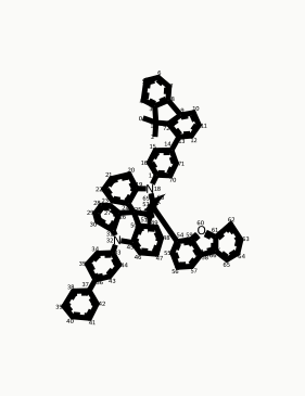 CC1(C)c2ccccc2-c2cccc(-c3ccc(N4c5ccccc5C5(c6ccccc6N(c6ccc(-c7ccccc7)cc6)c6ccccc65)c5cc(-c6cccc7c6oc6ccccc67)ccc54)cc3)c21